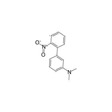 CN(C)c1cccc(-c2ccc[c]c2[N+](=O)[O-])c1